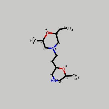 CCC1CN(CCC2CNCC(C)O2)CC(C)O1